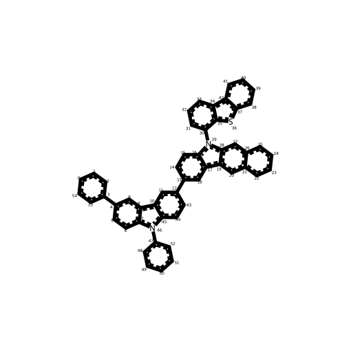 c1ccc(-c2ccc3c(c2)c2cc(-c4ccc5c(c4)c4cc6ccccc6cc4n5-c4cccc5c4sc4ccccc45)ccc2n3-c2ccccc2)cc1